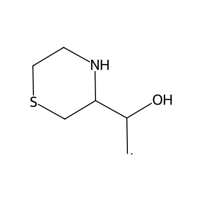 [CH2]C(O)C1CSCCN1